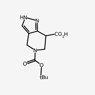 CC(C)(C)OC(=O)N1Cc2c[nH]nc2C(C(=O)O)C1